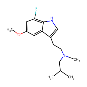 COc1cc(F)c2[nH]cc(CCN(C)CC(C)C)c2c1